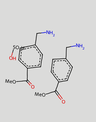 COC(=O)c1ccc(CN)cc1.COC(=O)c1ccc(CN)cc1.O=S(=O)(O)O